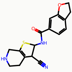 N#CC1C2=C(CNCC2)SC1NC(=O)c1ccc2c(c1)OCC2